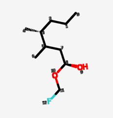 CCC[C@@H](C)C(C)C[C@@H](O)OCF